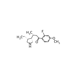 CC[C@H]1CNC[C@H]1[C@H](C)CC(=O)c1ccc(OC)cc1F